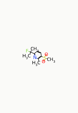 Cc1nc(C(C)(C)F)ccc1S(C)(=O)=O